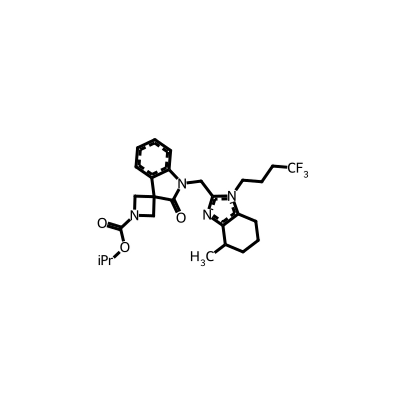 CC(C)OC(=O)N1CC2(C1)C(=O)N(Cc1nc3c(n1CCCC(F)(F)F)CCCC3C)c1ccccc12